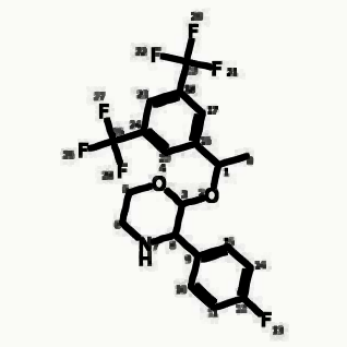 CC(OC1OCCNC1c1ccc(F)cc1)c1cc(C(F)(F)F)cc(C(F)(F)F)c1